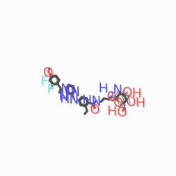 CCc1cc(Nc2nccn3c(-c4ccc(OC)c(F)c4F)cnc23)ccc1C(=O)NCCCO[C@@H]1O[C@H](CO)[C@H](O)[C@H](O)[C@H]1N